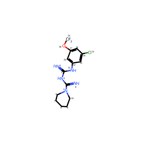 N=C(NC(=N)N1CCCCC1)Nc1cc(Cl)cc(OC(F)(F)F)c1